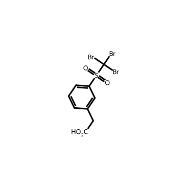 O=C(O)Cc1cccc(S(=O)(=O)C(Br)(Br)Br)c1